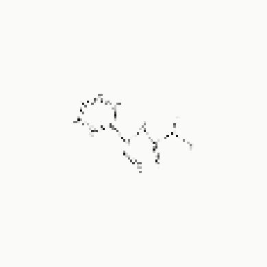 CC(C)C(=O)OC(C=O)c1ccccc1